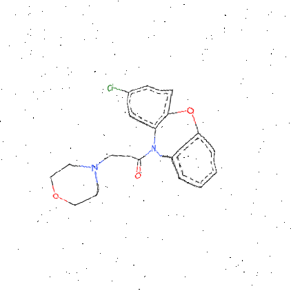 O=C(CN1CCOCC1)N1c2ccccc2Oc2ccc(Cl)cc21